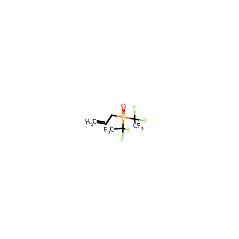 C=CCP(=O)(C(F)(F)C(F)(F)F)C(F)(F)C(F)(F)F